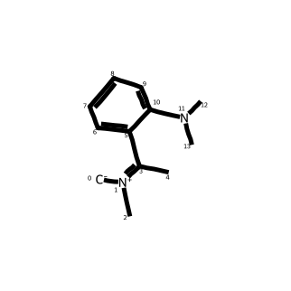 [CH2-]/[N+](C)=C(/C)c1ccccc1N(C)C